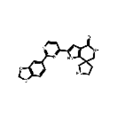 O=C1NCC2(CCNC2)c2[nH]c(-c3ccnc(-c4ccc5c(c4)OCO5)n3)cc21